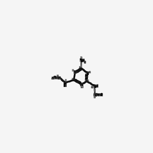 CCCCCNc1nc(N)nc(NCCCCC)n1